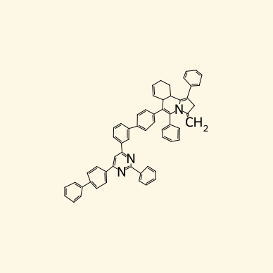 C=C1CC(c2ccccc2)=C2C3CCC=CC3C(c3ccc(-c4cccc(-c5cc(-c6ccc(-c7ccccc7)cc6)nc(-c6ccccc6)n5)c4)cc3)=C(c3ccccc3)N12